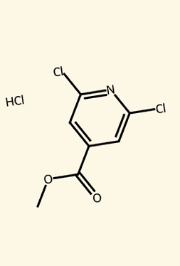 COC(=O)c1cc(Cl)nc(Cl)c1.Cl